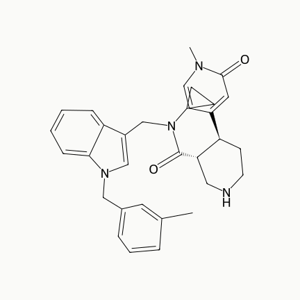 Cc1cccc(Cn2cc(CN(C(=O)[C@H]3CNCC[C@@H]3c3ccn(C)c(=O)c3)C3CC3)c3ccccc32)c1